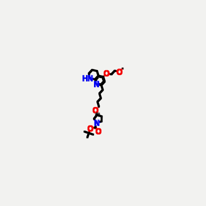 COCCOc1cc(CCCCCO[C@@H]2CCN(C(=O)OC(C)(C)C)C2)nc2c1CCCN2